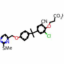 CSc1nccc(COc2ccc(C(C)(C)c3cc(Cl)c(OCCC(=O)O)c(C#N)c3)cc2)n1